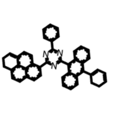 C1=CCCC(c2c3ccccc3c(-c3nc(-c4ccccc4)nc(-c4ccc5ccc6c7c(ccc4c57)=CCC6)n3)c3ccccc23)=C1